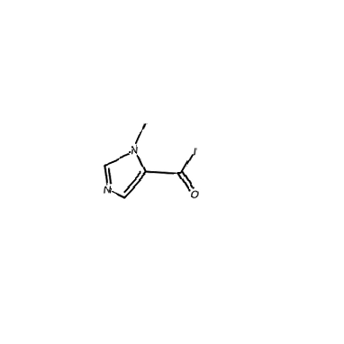 Cn1cncc1C(=O)I